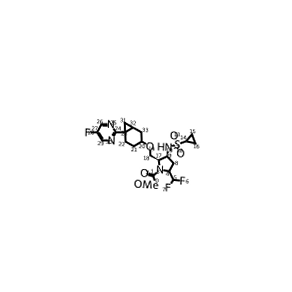 COC(=O)N1C(C(F)F)C[C@H](NS(=O)(=O)C2CC2)[C@@H]1COC1CCC2(c3ncc(F)cn3)CC2C1